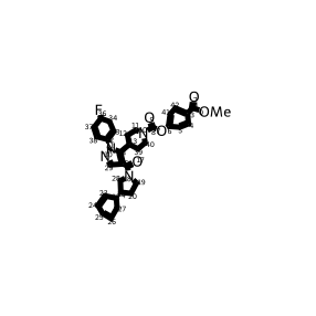 COC(=O)c1ccc(OC(=O)N2CCC(c3c(C(=O)N4CC[C@H](C5C=CC=CC5)C4)cnn3C3=CCC(F)C=C3)CC2)cc1